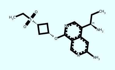 CC[C@@H](N)c1cnc(O[C@H]2C[C@@H](S(=O)(=O)CC)C2)c2cnc(N)cc12